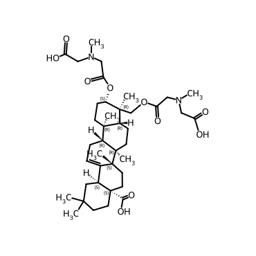 CN(CC(=O)O)CC(=O)OC[C@@]1(C)[C@@H]2CC[C@]3(C)[C@H](CC=C4[C@@H]5CC(C)(C)CC[C@]5(C(=O)O)CC[C@]43C)[C@@]2(C)CC[C@@H]1OC(=O)CN(C)CC(=O)O